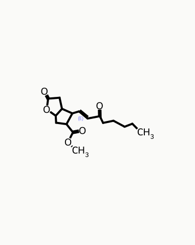 CCCCCC(=O)/C=C/C1C(C(=O)OC)CC2OC(=O)CC21